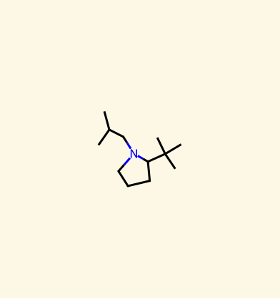 CC(C)CN1CCCC1C(C)(C)C